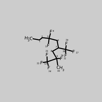 CCCC(F)(F)CC(CC(C)(F)C(F)(F)F)C(F)(F)F